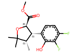 COC(=O)[C@@H]1OC(C)(C)[C@@H](C)[C@H]1c1ccc(F)c(F)c1O